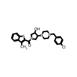 Cc1c(C(=O)N2CC(O)C(N3CCN(Cc4ccc(Cl)cc4)CC3)C2)sc2ccccc12